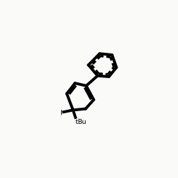 CC(C)(C)C1(I)C=CC(c2ccccc2)=CC1